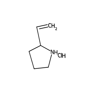 C=CC1CCCN1.Cl